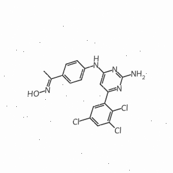 CC(=NO)c1ccc(Nc2cc(-c3cc(Cl)cc(Cl)c3Cl)nc(N)n2)cc1